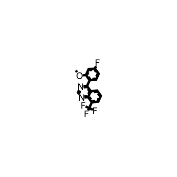 COc1cc(F)ccc1-c1ncnc2c(C(F)(F)F)cccc12